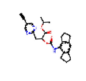 C#Cc1cnc(CC(OC(=O)Nc2c3c(cc4c2CCC4)CCC3)C(=O)OC(C)C)nc1